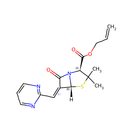 C=CCOC(=O)[C@@H]1N2C(=O)/C(=C\c3ncccn3)[C@H]2SC1(C)C